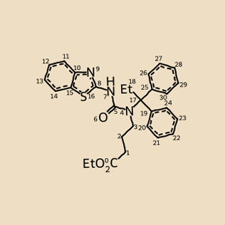 CCOC(=O)CCCN(C(=O)Nc1nc2ccccc2s1)C(CC)(c1ccccc1)c1ccccc1